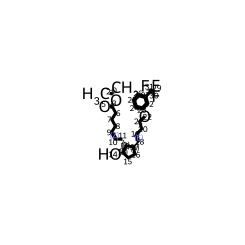 CC(C)OC(=O)CCC/C=C\C[C@H]1[C@@H](O)CC[C@@H]1/C=C/CCOc1cccc(C(F)(F)F)c1